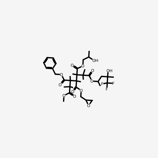 COC(=O)C(C)(C)C(C)(C(=O)OCc1ccccc1)C(C)(C(=O)OCC1CO1)C(C)(C(=O)OCC(C)O)C(C)(C)C(=O)OC(C)CC(C)(O)C(F)(F)F